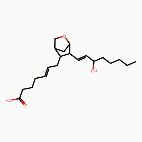 CCCCCC(O)/C=C/C1C2CC(CO2)C1C/C=C/CCCC(=O)O